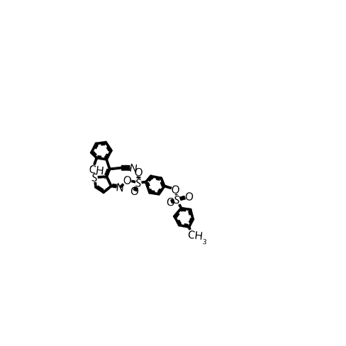 Cc1ccc(S(=O)(=O)Oc2ccc(S(=O)(=O)O/N=C3/C=CS/C3=C(/C#N)c3ccccc3C)cc2)cc1